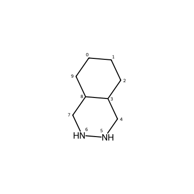 C1CCC2CNNCC2C1